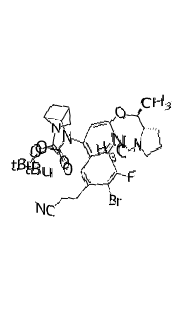 C[C@H](Oc1cc(N(C(=O)OC(C)(C)C)C2C3CC2N(C(=O)OC(C)(C)C)C3)c2cc(CCC#N)c(Br)c(F)c2n1)[C@@H]1CCCN1C